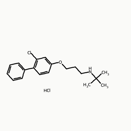 CC(C)(C)NCCCOc1ccc(-c2ccccc2)c(Cl)c1.Cl